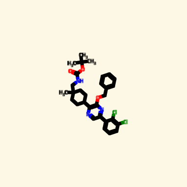 CC1(CNC(=O)OC(C)(C)C)CCC(c2ncc(-c3cccc(Cl)c3Cl)nc2OCc2ccccc2)CC1